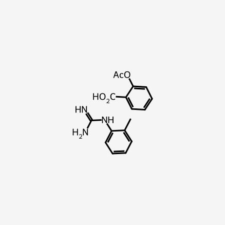 CC(=O)Oc1ccccc1C(=O)O.Cc1ccccc1NC(=N)N